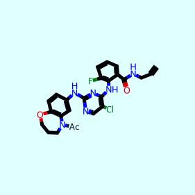 C#CCNC(=O)c1cccc(F)c1Nc1nc(Nc2ccc3c(c2)N(C(C)=O)CCCO3)ncc1Cl